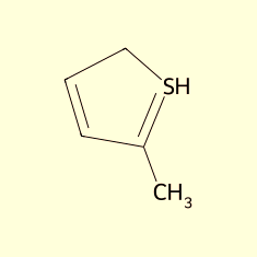 CC1=[SH]CC=C1